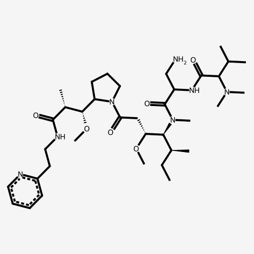 CC[C@H](C)[C@@H]([C@@H](CC(=O)N1CCCC1[C@H](OC)[C@@H](C)C(=O)NCCc1ccccn1)OC)N(C)C(=O)C(CN)NC(=O)C(C(C)C)N(C)C